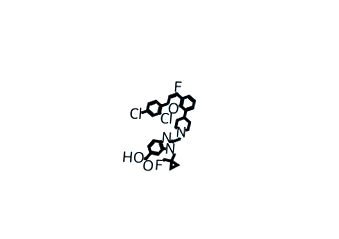 O=C(O)c1ccc2nc(CN3CCC(c4cccc5c4OC(c4ccc(Cl)cc4Cl)C=C5F)CC3)n(CC3(CF)CC3)c2c1